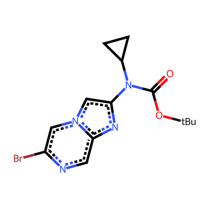 CC(C)(C)OC(=O)N(c1cn2cc(Br)ncc2n1)C1CC1